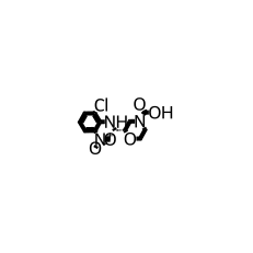 O=C(O)N1CCO[C@H](CNc2c(Cl)cccc2[N+](=O)[O-])C1